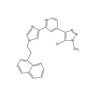 Cn1nnc(-c2ccnc(-c3cn(CCc4cccc5ccccc45)cn3)c2)c1Cl